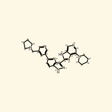 c1ncc(-c2ccc3[nH]nc(-c4nc5c(N6CCCCC6)cncc5[nH]4)c3n2)cc1CN1CCCC1